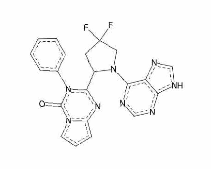 O=c1n(-c2ccccc2)c(C2CC(F)(F)CN2c2ncnc3[nH]cnc23)nc2cccn12